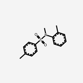 Cc1ccc(S(=O)(=O)N(C)c2ccccc2C)cc1